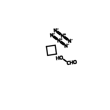 C1CCC1.O=CO.[N-]=[N+]=[N-].[N-]=[N+]=[N-]